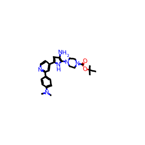 CN(C)c1ccc(-c2cc(-c3cc(N)c(N4CCN(C(=O)OC(C)(C)C)CC4)[nH]3)ccn2)cc1